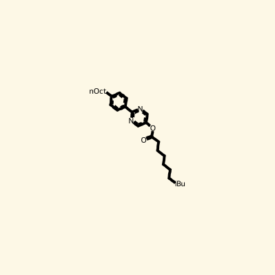 CCCCCCCCc1ccc(-c2ncc(OC(=O)CCCCCCC(C)CC)cn2)cc1